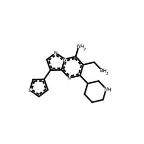 BCc1c(C2CCCNC2)nc2c(-c3ccsc3)cnn2c1N